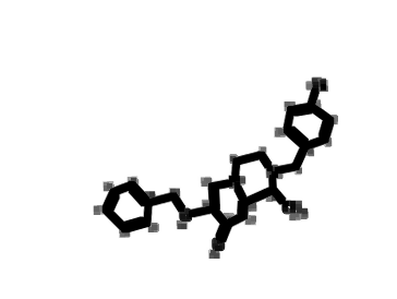 CCc1ccc(CN2CCn3cc(OCc4ccccc4)c(=O)cc3C2C)cc1